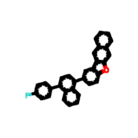 Fc1ccc(-c2ccc(-c3ccc4oc5cc6ccccc6cc5c4c3)c3ccccc23)cc1